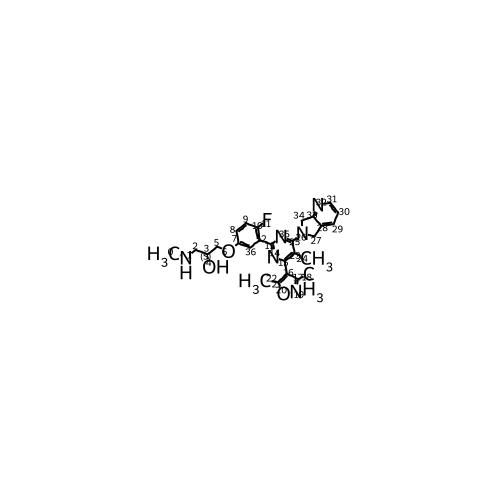 CNC[C@H](O)COc1ccc(F)c(-c2nc(-c3c(C)noc3C)c(C)c(N3Cc4cccnc4C3)n2)c1